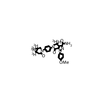 [2H]C1([2H])CN(c2ccc(N3CC([2H])([2H])C([2H])([2H])CC3=O)cc2)C(=O)c2c1c(C(N)=O)nn2-c1ccc(OC)cc1